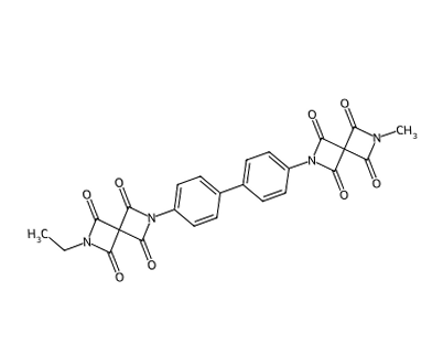 CCN1C(=O)C2(C1=O)C(=O)N(c1ccc(-c3ccc(N4C(=O)C5(C(=O)N(C)C5=O)C4=O)cc3)cc1)C2=O